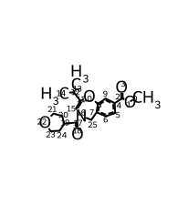 COC(=O)c1ccc2c(c1)OC(C(C)C)=CN(C(=O)C1CCOCC1)C2